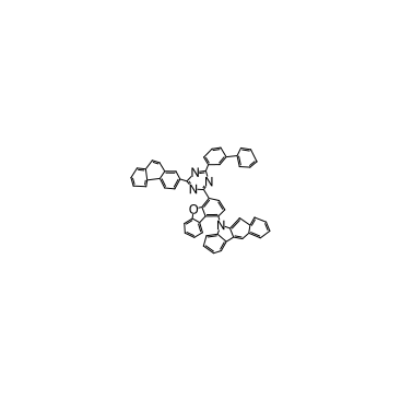 c1ccc(-c2cccc(-c3nc(-c4ccc5c(ccc6ccccc65)c4)nc(-c4ccc(-n5c6ccccc6c6cc7ccccc7cc65)c5c4oc4ccccc45)n3)c2)cc1